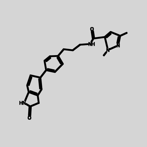 Cc1cc(C(=O)NCCCc2ccc(-c3ccc4c(c3)CC(=O)N4)cc2)n(C)n1